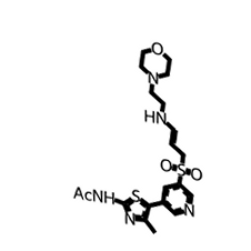 CC(=O)Nc1nc(C)c(-c2cncc(S(=O)(=O)CC=CNCCN3CCOCC3)c2)s1